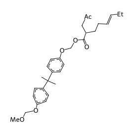 CCC=CCCC(CC(C)=O)C(=O)OCOc1ccc(C(C)(C)c2ccc(OCOC)cc2)cc1